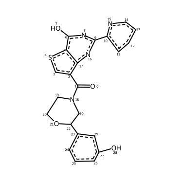 O=C(c1csc2c(O)nc(-c3ccccn3)nc12)N1CCOC(c2cccc(O)c2)C1